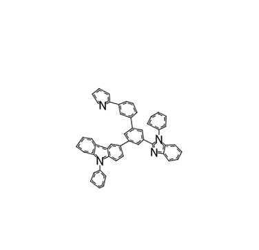 c1ccc(-n2c(-c3cc(-c4cccc(-c5ccccn5)c4)cc(-c4ccc5c(c4)c4ccccc4n5-c4ccccc4)c3)nc3ccccc32)cc1